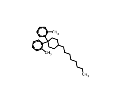 CCCCCCCCC1CCC(c2ccccc2C)(c2ccccc2C)CC1